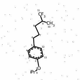 CC(C)Oc1ccc(CCCC(C)C(F)(F)F)cc1